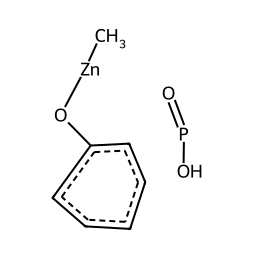 O=PO.[CH3][Zn][O]c1ccccc1